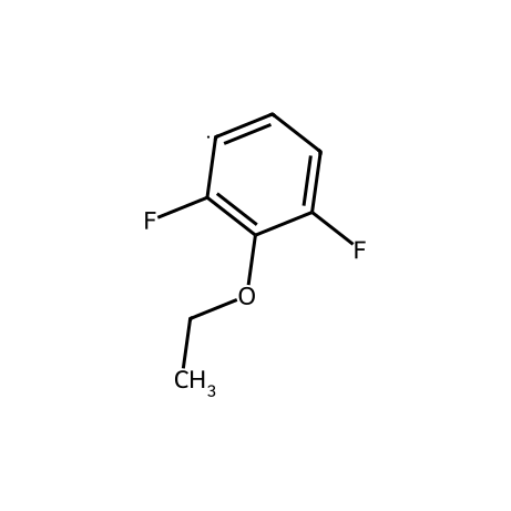 CCOc1c(F)[c]ccc1F